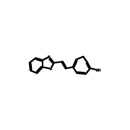 OC1=CCC=C(/C=C/c2nc3ccccc3o2)C=C1